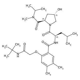 Cc1cc(OCC(=O)NC(C)(C)C)c(C(=O)N[C@H](CC(C)C)C(=O)N2C[C@@H](O)C[C@@H]2C(=O)N(C)C(C)C)cc1C